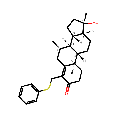 C[C@@H]1CC2=C(CSc3ccccc3)C(=O)CC[C@]2(C)[C@H]2CC[C@@]3(C)[C@@H](CC[C@]3(C)O)[C@H]12